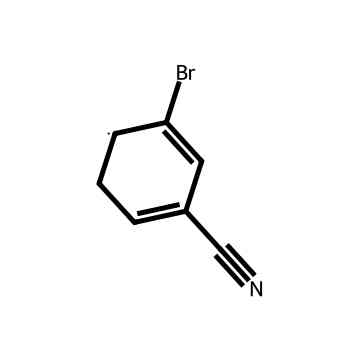 N#CC1=CC[CH]C(Br)=C1